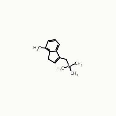 Cc1cccc2c1CC=C2C[Si](C)(C)C